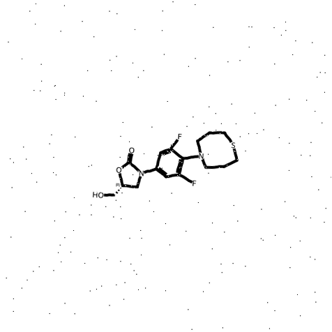 O=C1O[C@@H](CO)CN1c1cc(F)c(N2CCCSCCC2)c(F)c1